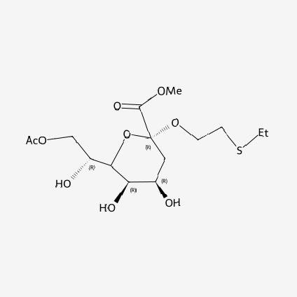 CCSCCO[C@]1(C(=O)OC)C[C@@H](O)[C@@H](O)C([C@H](O)COC(C)=O)O1